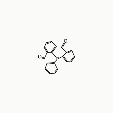 O=Cc1ccccc1P(c1ccccc1)c1ccccc1C=O